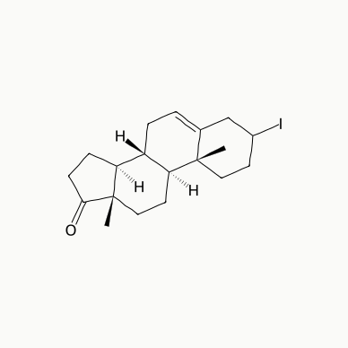 C[C@]12CCC(I)CC1=CC[C@@H]1[C@@H]2CC[C@]2(C)C(=O)CC[C@@H]12